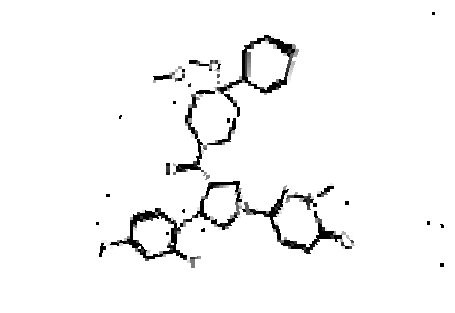 CO[C@H]1CN(C(=O)[C@@H]2CN(c3ccc(=O)n(C)n3)C[C@H]2c2ccc(F)cc2F)CC[C@]1(OC)c1ccccc1